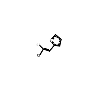 ClC(Cl)=Cc1cccs1